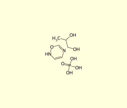 C1=CNOC=N1.CC(O)CO.O=P(O)(O)O